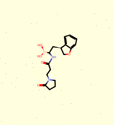 O=C(CCN1CCCC1=O)NC(C[C@@H]1COc2ccccc21)B(O)O